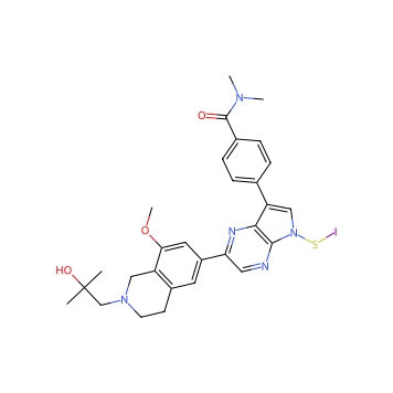 COc1cc(-c2cnc3c(n2)c(-c2ccc(C(=O)N(C)C)cc2)cn3SI)cc2c1CN(CC(C)(C)O)CC2